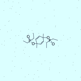 CCP(=O)(CC)OC1(C)C=CC(C)(OP(=O)(CC)CC)C=C1